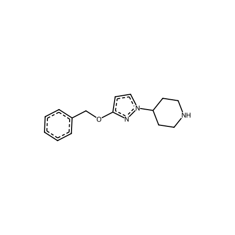 c1ccc(COc2ccn(C3CCNCC3)n2)cc1